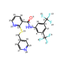 O=C(Nc1cc(C(F)(F)F)cc(C(F)(F)F)c1)c1cccnc1SCc1ccncc1